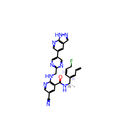 C=C/C=C(\C=C/CF)[C@H](C)NC(=O)c1cc(C#N)cnc1NCc1ncc(-c2cnc3[nH]ncc3c2)cn1